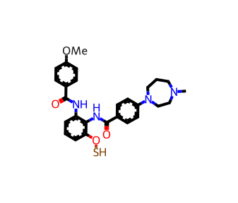 COc1ccc(C(=O)Nc2cccc(OS)c2NC(=O)c2ccc(N3CCCN(C)CC3)cc2)cc1